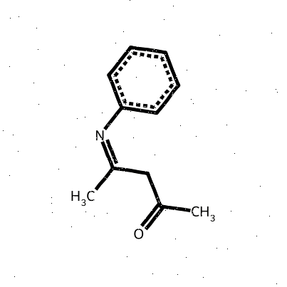 CC(=O)C/C(C)=N\c1ccccc1